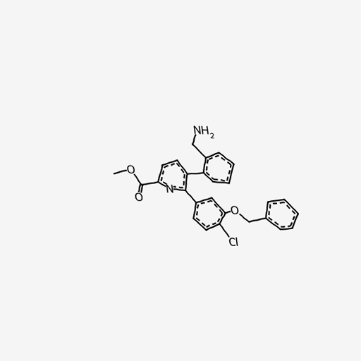 COC(=O)c1ccc(-c2ccccc2CN)c(-c2ccc(Cl)c(OCc3ccccc3)c2)n1